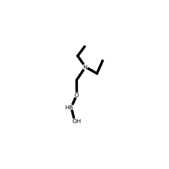 CCN(CC)COBO